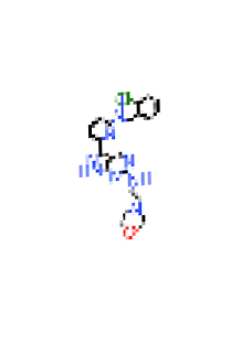 Clc1ccccc1CNc1cccc(-c2n[nH]c3nc(NCCN4CCOCC4)ncc23)n1